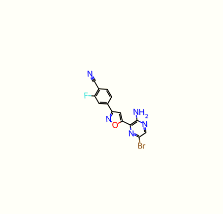 N#Cc1ccc(-c2cc(-c3nc(Br)cnc3N)on2)cc1F